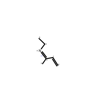 C=C/C(C)=N\CC